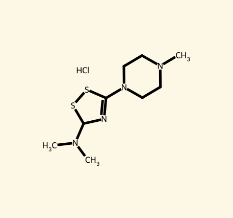 CN1CCN(C2=NC(N(C)C)SS2)CC1.Cl